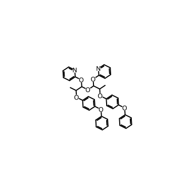 CC(Oc1ccc(Oc2ccccc2)cc1)C(Oc1ccccn1)OC(Oc1ccccn1)C(C)Oc1ccc(Oc2ccccc2)cc1